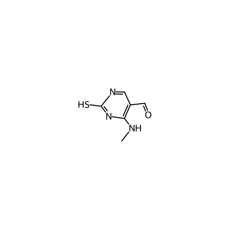 CNc1nc(S)ncc1C=O